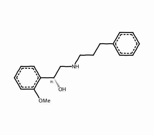 COc1ccccc1[C@@H](O)CNCCCc1ccccc1